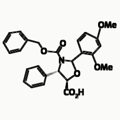 COc1ccc(C2O[C@@H](C(=O)O)[C@H](c3ccccc3)N2C(=O)OCc2ccccc2)c(OC)c1